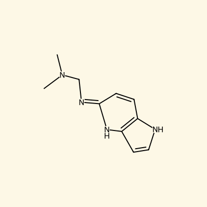 CN(C)CN=c1ccc2[nH]ccc2[nH]1